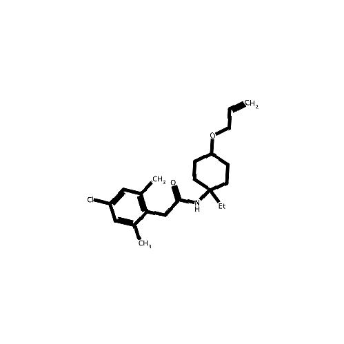 C=CCOC1CCC(CC)(NC(=O)Cc2c(C)cc(Cl)cc2C)CC1